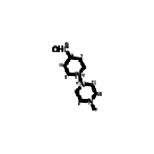 CN1CCN(N2CCC(C=O)CC2)CC1